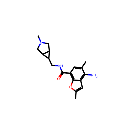 Cc1cc2c(N)c(C)cc(C(=O)NCC3C4CN(C)CC34)c2o1